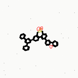 O=S1(=O)Cc2cc(-c3cc(-c4ccccc4)cc(-c4ccccc4)c3)ccc2-c2cc(-c3ccc4oc5ccccc5c4c3)ccc2C1